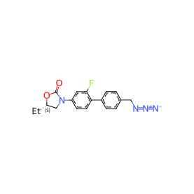 CC[C@H]1CN(c2ccc(-c3ccc(CN=[N+]=[N-])cc3)c(F)c2)C(=O)O1